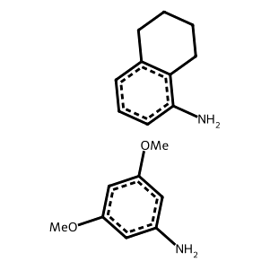 COc1cc(N)cc(OC)c1.Nc1cccc2c1CCCC2